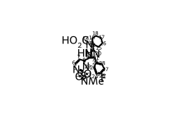 CNS(=O)(=O)c1nccc(-c2[nH]c(C3(NC(=O)O)CCCCC3)nc2-c2ccc(F)cc2)n1